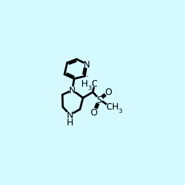 CC(C1CNCCN1c1[c]nccc1)S(C)(=O)=O